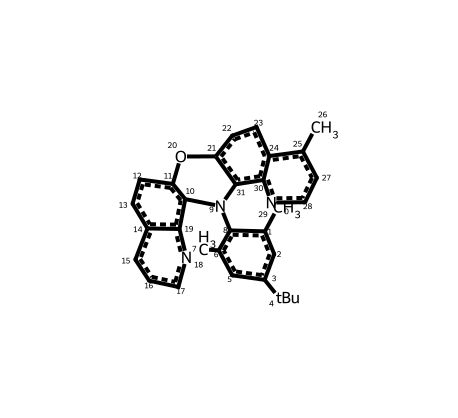 Cc1cc(C(C)(C)C)cc(C)c1N1c2c(ccc3cccnc23)Oc2ccc3c(C)ccnc3c21